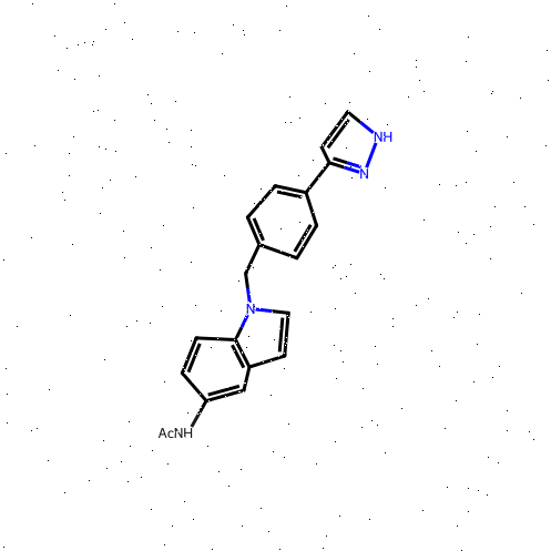 CC(=O)Nc1ccc2c(ccn2Cc2ccc(-c3cc[nH]n3)cc2)c1